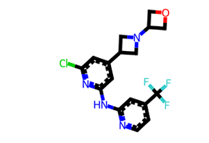 FC(F)(F)c1ccnc(Nc2cc(C3CN(C4COC4)C3)cc(Cl)n2)c1